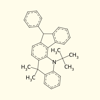 CC1(C)c2ccccc2N(C(C)(C)C)c2c1ccc1c2-c2ccccc2C1c1ccccc1